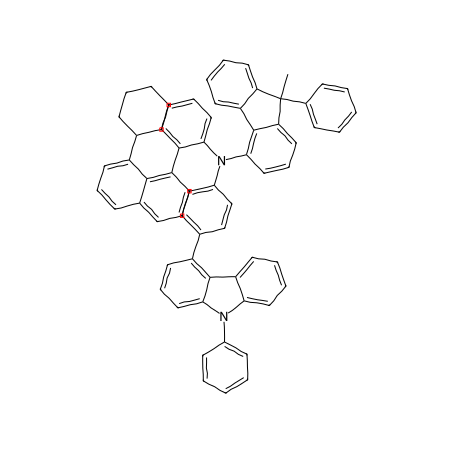 CC1(c2ccccc2)c2ccccc2-c2c(N(c3ccc(-c4cccc5c4c4ccccc4n5-c4ccccc4)cc3)c3ccccc3-c3cccc4cccc(C5CCCCC5)c34)cccc21